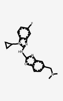 CN(C)Cc1ccc2oc(Nc3nc4cc(F)ccc4n3C3CC3)nc2c1